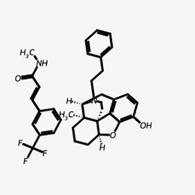 CNC(=O)/C=C/c1cccc(C(F)(F)F)c1.C[C@@]12CCC[C@@H]3Oc4c(O)ccc5c4[C@@]31CCN(CCc1ccccc1)[C@@H]2C5